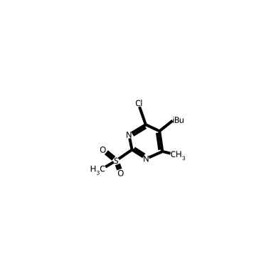 CCC(C)c1c(C)nc(S(C)(=O)=O)nc1Cl